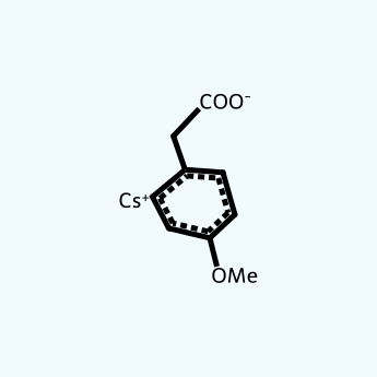 COc1ccc(CC(=O)[O-])cc1.[Cs+]